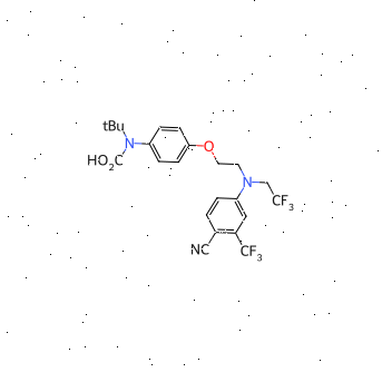 CC(C)(C)N(C(=O)O)c1ccc(OCCN(CC(F)(F)F)c2ccc(C#N)c(C(F)(F)F)c2)cc1